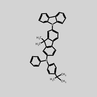 CC(C)(C)c1ccc(N(c2ccccc2)c2ccc3c(c2)C(C)(C)c2cc(-n4c5ccccc5c5ccccc54)ccc2-3)cc1